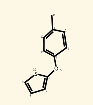 Cc1ccc(Oc2cc[c]s2)cc1